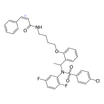 CC(c1ccccc1OCCCCNC(=O)/C=C\c1ccccc1)N(c1cc(F)ccc1F)S(=O)(=O)c1ccc(Cl)cc1